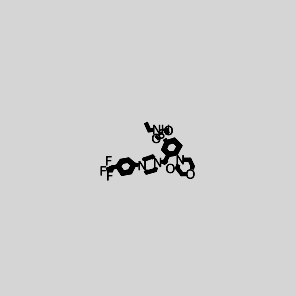 CCNS(=O)(=O)c1ccc(N2CCOCC2)c(C(=O)N2CCN(c3ccc(C(F)(F)F)cc3)CC2)c1